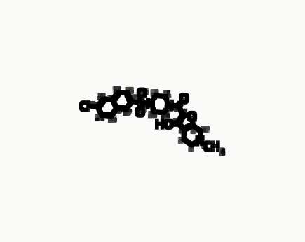 CN1CCc2c(oc(C(=O)N3CCN(S(=O)(=O)c4ccc5cc(Cl)ccc5c4)CC3)c2O)C1